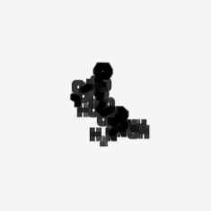 CC(C)OC(=O)[C@@H](C)NP(=O)(OC[C@H]1O[C@@H](n2ccc3c(NO)nc(N)nc32)[C@H](O)[C@@H]1O)Oc1ccccc1